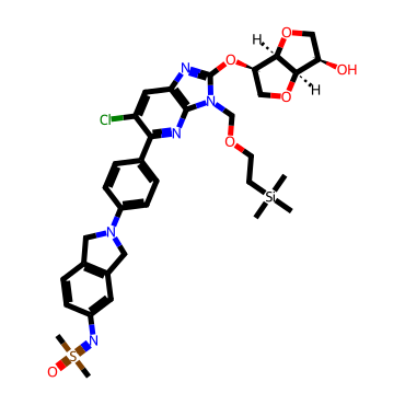 C[Si](C)(C)CCOCn1c(O[C@@H]2CO[C@H]3[C@@H]2OC[C@H]3O)nc2cc(Cl)c(-c3ccc(N4Cc5ccc(N=S(C)(C)=O)cc5C4)cc3)nc21